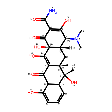 CN(C)[C@@H]1C(O)=C(C(N)=O)C(=O)[C@@]2(O)C(O)=C3C(=O)C4C(O)=CC=CC4[C@@](C)(O)[C@H]3C[C@@H]12